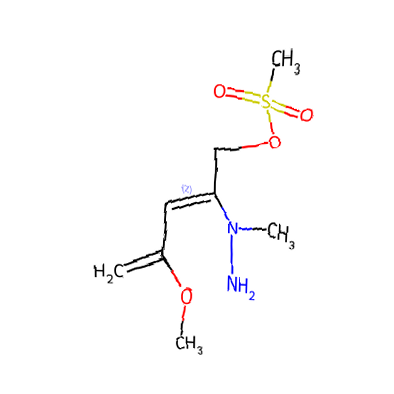 C=C(/C=C(/COS(C)(=O)=O)N(C)N)OC